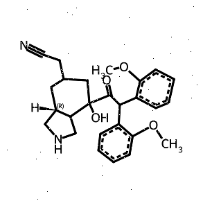 COc1ccccc1C(C(=O)C1(O)CC(CC#N)C[C@H]2CNCC21)c1ccccc1OC